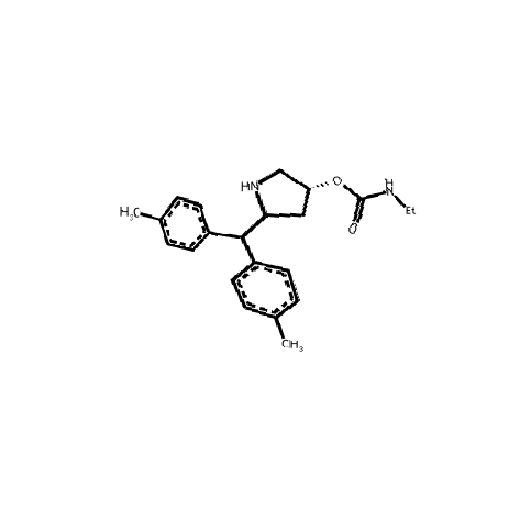 CCNC(=O)O[C@H]1CNC(C(c2ccc(C)cc2)c2ccc(C)cc2)C1